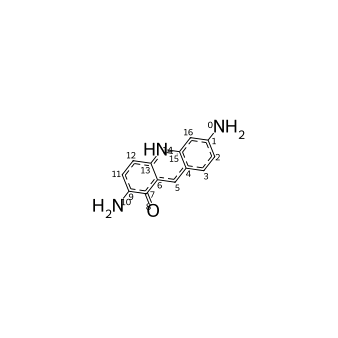 Nc1ccc2cc3c(=O)c(N)ccc-3[nH]c2c1